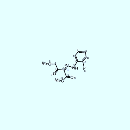 COCC(=O)/C(=N/Nc1ccccc1F)C(=O)OC